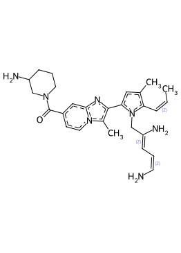 C/C=C\c1c(C)cc(-c2nc3cc(C(=O)N4CCCC(N)C4)ccn3c2C)n1C/C(N)=C/C=C\N